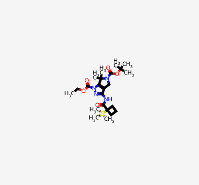 CCOC(=O)n1nc(NC(=O)C2(S(C)(C)C)CCC2)c2c1C(C)(C)N(C(=O)OC(C)(C)C)C2